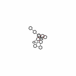 c1ccc(-c2ccc(-c3ccc(N(c4ccccc4)c4ccc5c(c4)C4(c6ccccc6-c6ccccc6-5)c5ccccc5-c5cc6oc7ccccc7c6cc54)cc3)cc2)cc1